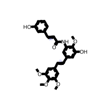 COc1cc(/C=C/c2cc(O)c(OC)c(NC(=O)/C=C/c3cccc(O)c3)c2)cc(OC)c1OC